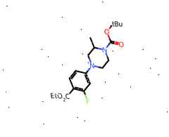 CCOC(=O)c1ccc(N2CCN(C(=O)OC(C)(C)C)C(C)C2)cc1F